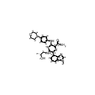 C[C@@H](O)CNc1nc(Nc2ccc(N3CCOCC3)cc2)c(C(N)=O)nc1-c1cccc2c1ncn2C